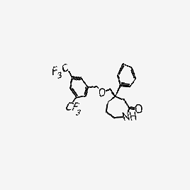 O=C1CC(COCc2cc(C(F)(F)F)cc(C(F)(F)F)c2)(c2ccccc2)CCCN1